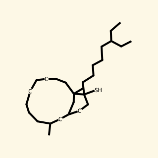 CCC(CC)CCCCCC1(S)CCC2CC(C)CCCCCCCCC1(C)C2